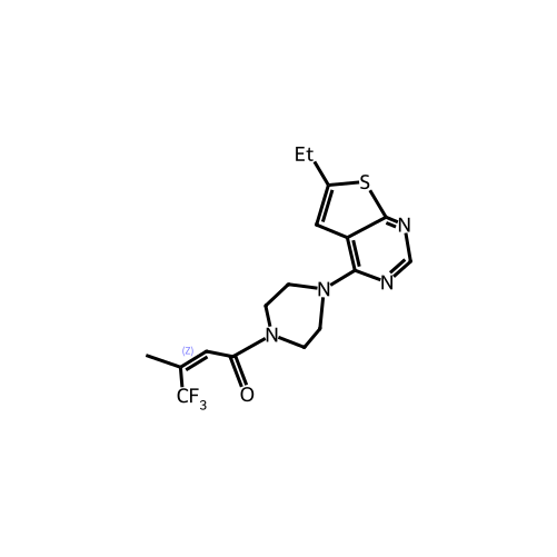 CCc1cc2c(N3CCN(C(=O)/C=C(/C)C(F)(F)F)CC3)ncnc2s1